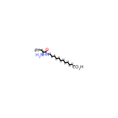 CC(C)C[C@H](N)C(=O)NCCCCCCCCCCCC(=O)O